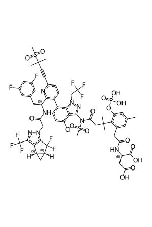 Cc1cc(CC(=O)N[C@H](CC(=O)O)C(=O)O)c(C(C)(C)CC(=O)N(c2nn(CC(F)(F)F)c3c(-c4ccc(C#CC(C)(C)S(C)(=O)=O)nc4[C@H](Cc4cc(F)cc(F)c4)NC(=O)Cn4nc(C(F)(F)F)c5c4C(F)(F)[C@@H]4C[C@H]54)ccc(Cl)c23)S(C)(=O)=O)c(OP(=O)(O)O)c1